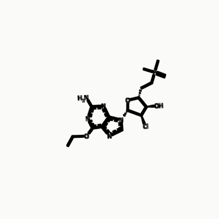 C=P(C)(C)CC[C@H]1O[C@@H](n2cnc3c(OCC)nc(N)nc32)[C@H](Cl)[C@@H]1O